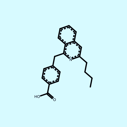 CCCCc1cc2ccccc2c(Cc2ccc(C(=O)O)cc2)n1